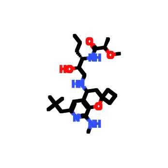 CCC[C@H](NC(=O)[C@@H](C)OC)[C@H](O)CN[C@H]1CC2(CCC2)Oc2c1cc(CC(C)(C)C)nc2NC